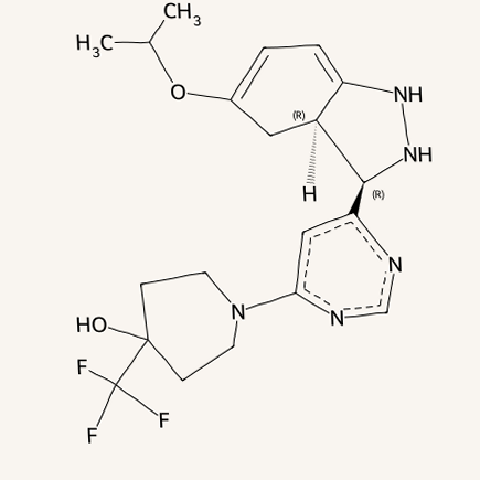 CC(C)OC1=CC=C2NN[C@@H](c3cc(N4CCC(O)(C(F)(F)F)CC4)ncn3)[C@H]2C1